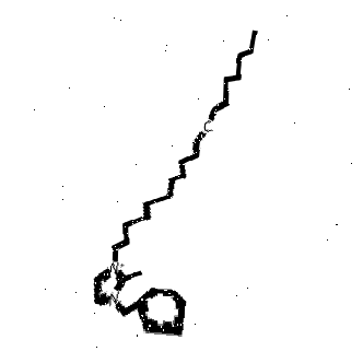 CCCCCCCCCCCCCCCCCCC[n+]1ccn(Cc2ccccc2)c1C